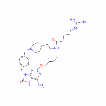 CCCCOc1nc(N)c2[nH]c(=O)n(Cc3ccc(CN4CCC(CCNC(=O)CCCCNC(=N)N)CC4)cc3)c2n1